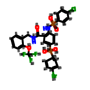 O=C(NCc1ccccc1OC(F)(F)F)c1cc(S(=O)(=O)c2ccc(Br)cc2)ccc1NS(=O)(=O)c1ccc(Cl)cc1